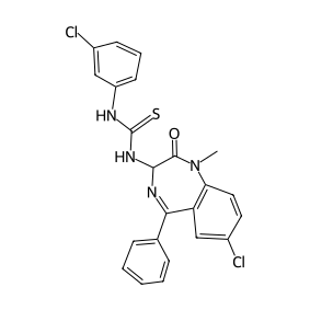 CN1C(=O)C(NC(=S)Nc2cccc(Cl)c2)N=C(c2ccccc2)c2cc(Cl)ccc21